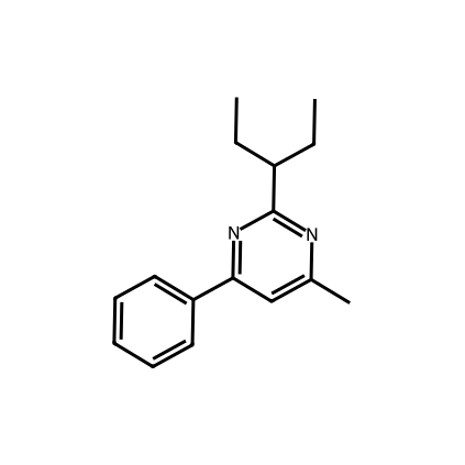 CCC(CC)c1nc(C)cc(-c2ccccc2)n1